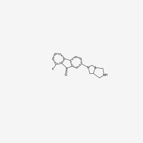 O=C1c2cc(N3CB4CNCC4C3)ccc2-c2cccc(F)c21